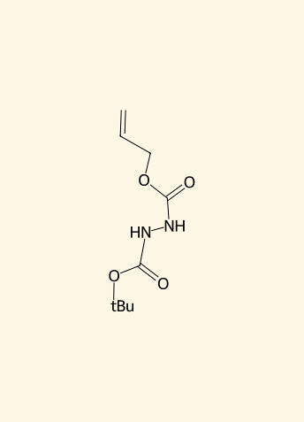 C=CCOC(=O)NNC(=O)OC(C)(C)C